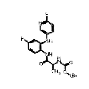 CC(NC(=O)OC(C)(C)C)C(=O)Nc1ccc(F)cc1Nc1ccc(F)nc1